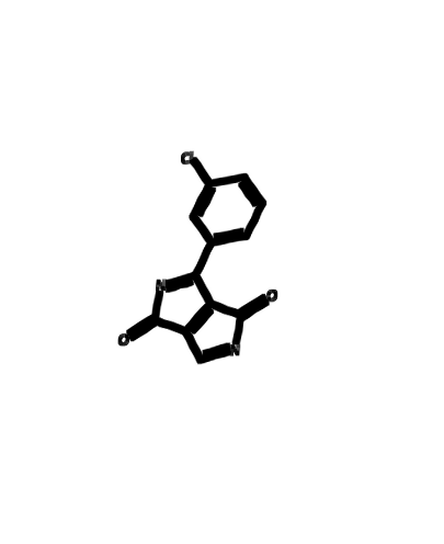 O=c1nc(-c2cccc(Cl)c2)c2c(=O)ncc1=2